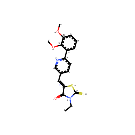 CCN1C(=O)/C(=C/c2ccc(-c3cccc(OC)c3OC)nc2)SC1=S